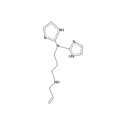 C=CCNCCCN(c1ncc[nH]1)c1ncc[nH]1